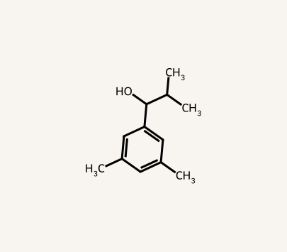 Cc1cc(C)cc(C(O)C(C)C)c1